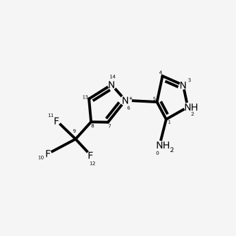 Nc1[nH]ncc1[N+]1=CC(C(F)(F)F)C=N1